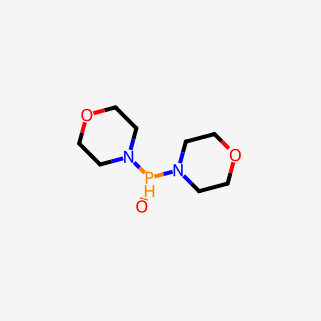 O=[PH](N1CCOCC1)N1CCOCC1